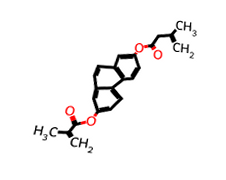 C=C(C)CC(=O)Oc1ccc2c(ccc3cc(OC(=O)C(=C)C)ccc32)c1